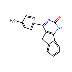 Cc1ccc(-c2nc(=O)[nH]c3c2Cc2ccccc2-3)cc1